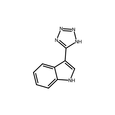 c1ccc2c(-c3nnn[nH]3)c[nH]c2c1